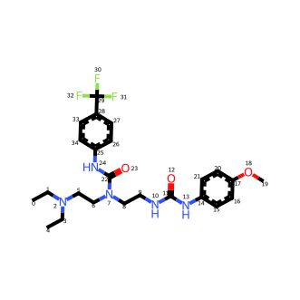 CCN(CC)CCN(CCNC(=O)Nc1ccc(OC)cc1)C(=O)Nc1ccc(C(F)(F)F)cc1